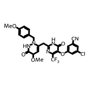 COc1ccc(CN2NC(=O)C(OC)C=C2Cc2nc(C(F)(F)F)c(Oc3cc(Cl)cc(C#N)c3)c(=O)[nH]2)cc1